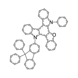 c1ccc(-n2c3ccccc3c3c4c5ccccc5n(-c5ccc6c(c5)C(c5ccccc5)(c5ccccc5)c5ccccc5-6)c4c4c5ccccc5oc4c32)cc1